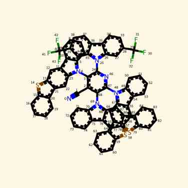 N#Cc1c(-n2c3ccccc3c3cc4sc5ccccc5c4cc32)c(-n2c3cc(C(F)(F)F)ccc3c3ccc(C(F)(F)F)cc32)nc(-n2c3ccccc3c3cc4sc5ccccc5c4cc32)c1-n1c2ccccc2c2cc3sc4ccccc4c3cc21